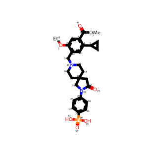 CCOc1cc(C(=O)OC)c(C2CC2)cc1CN1CCC2(CC1)CC(=O)N(c1ccc(P(=O)(O)O)cc1)C2